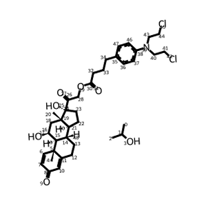 CC(C)O.C[C@]12C=CC(=O)C=C1CC[C@@H]1[C@@H]2[C@@H](O)C[C@@]2(C)[C@H]1CC[C@]2(O)C(=O)COC(=O)CCCc1ccc(N(CCCl)CCCl)cc1